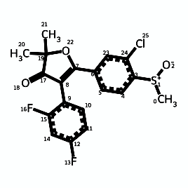 C[S+]([O-])c1ccc(C2=C(c3ccc(F)cc3F)C(=O)C(C)(C)O2)cc1Cl